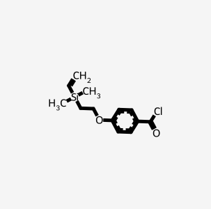 C=C[Si](C)(C)CCOc1ccc(C(=O)Cl)cc1